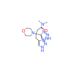 CN(C)C(=O)CC(Cc1c[nH]nn1)(c1c[nH]nn1)N1CCOCC1